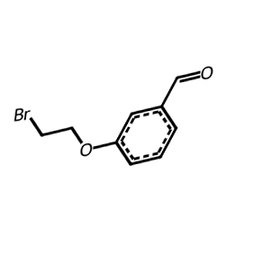 O=Cc1cccc(OCCBr)c1